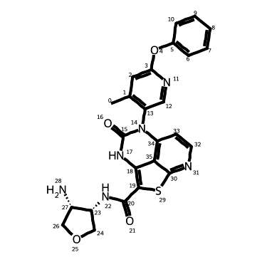 Cc1cc(Oc2ccccc2)ncc1N1C(=O)Nc2c(C(=O)N[C@@H]3COC[C@@H]3N)sc3nccc1c23